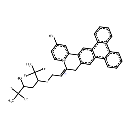 CCC(C)(CC)C(O)CC(OC/C=C1/Cc2cc3c4ccccc4c4ccccc4c3cc2-c2cc(C(C)(C)C)cc[n+]21)C(C)(CC)CC